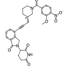 COc1cc(C(=O)N2CCC[C@H](CC#Cc3cccc4c3CN(C3CCC(=O)NC3=O)C4=O)C2)ccc1[N+](=O)[O-]